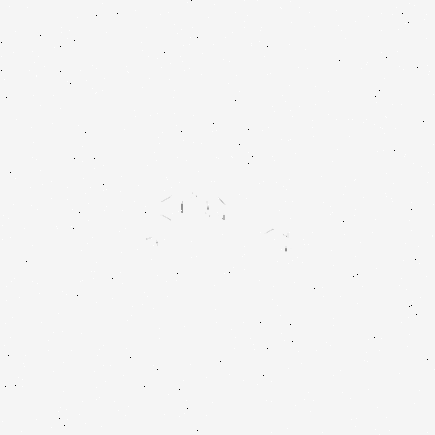 Cc1cc2c(cc1Nc1cc(C3CCC(OC(=O)NC(C)C)C3)[nH]n1)CS(=O)(=O)C2